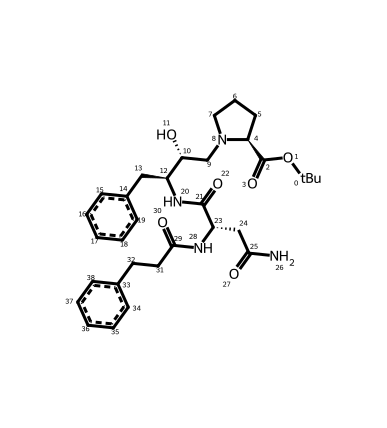 CC(C)(C)OC(=O)[C@@H]1CCCN1C[C@@H](O)[C@H](Cc1ccccc1)NC(=O)[C@H](CC(N)=O)NC(=O)CCc1ccccc1